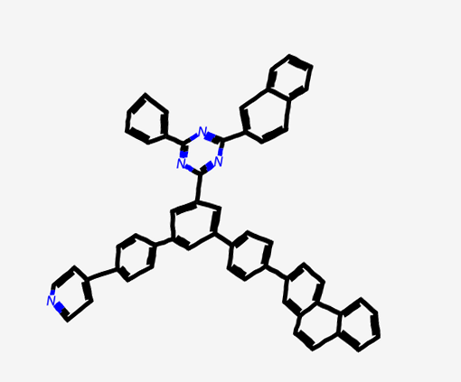 c1ccc(-c2nc(-c3cc(-c4ccc(-c5ccncc5)cc4)cc(-c4ccc(-c5ccc6c(ccc7ccccc76)c5)cc4)c3)nc(-c3ccc4ccccc4c3)n2)cc1